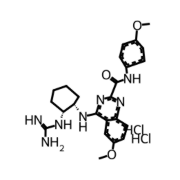 COc1ccc(NC(=O)c2nc(N[C@H]3CCCC[C@H]3NC(=N)N)c3cc(OC)ccc3n2)cc1.Cl.Cl